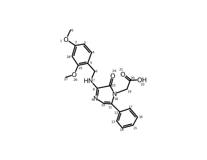 COc1ccc(CNc2ncc(-c3ccccc3)n(CC(=O)O)c2=O)c(OC)c1